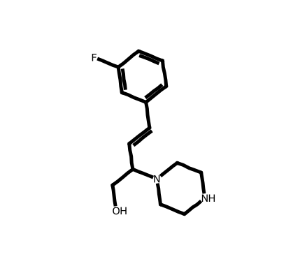 OCC(/C=C/c1cccc(F)c1)N1CCNCC1